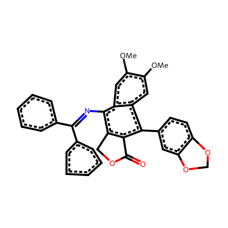 COc1cc2c(N=C(c3ccccc3)c3ccccc3)c3c(c(-c4ccc5c(c4)OCO5)c2cc1OC)C(=O)OC3